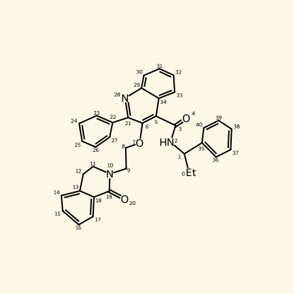 CCC(NC(=O)c1c(OCCN2CCc3ccccc3C2=O)c(-c2ccccc2)nc2ccccc12)c1ccccc1